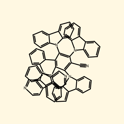 N#Cc1c(-n2c3ccccc3c3ccccc32)c(-n2c3ccccc3c3ccccc32)c(-c2ccccc2-n2c3cnccc3c3ccncc32)c(-n2c3ccccc3c3ccccc32)c1-n1c2ccccc2c2ccccc21